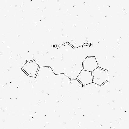 O=C(O)/C=C/C(=O)O.c1cncc(CCCNC2=Nc3cccc4cccc2c34)c1